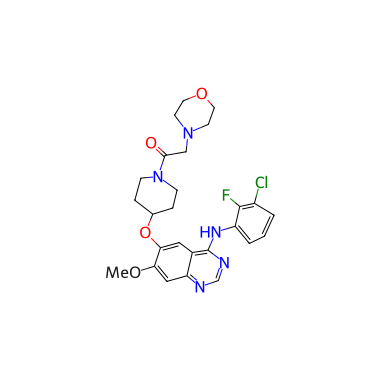 COc1cc2ncnc(Nc3cccc(Cl)c3F)c2cc1OC1CCN(C(=O)CN2CCOCC2)CC1